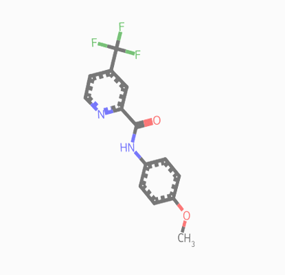 COc1ccc(NC(=O)c2cc(C(F)(F)F)ccn2)cc1